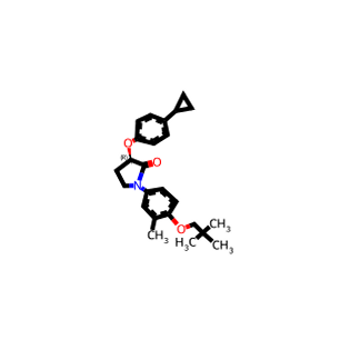 Cc1cc(N2CC[C@@H](Oc3ccc(C4CC4)cc3)C2=O)ccc1OCC(C)(C)C